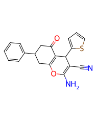 N#CC1=C(N)OC2=C(C(=O)CC(c3ccccc3)C2)C1c1cccs1